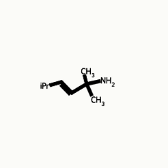 CC(C)C=CC(C)(C)N